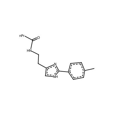 CCCC(=O)NCCc1c[nH]c(-c2ccc(C)cc2)n1